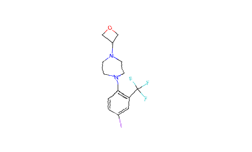 FC(F)(F)c1cc(I)ccc1N1CCN(C2COC2)CC1